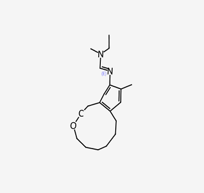 CCN(C)/C=N/c1cc2c(cc1C)CCCCCCOCC2